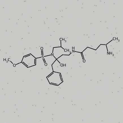 COc1ccc(S(=O)(=O)N(CC(C)C)C(O)(CCNC(=O)CCCC(C)N)Cc2ccccc2)cc1